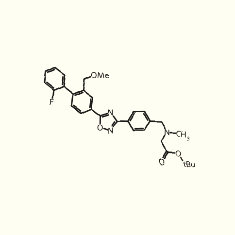 COCc1cc(-c2nc(-c3ccc(CN(C)CC(=O)OC(C)(C)C)cc3)no2)ccc1-c1ccccc1F